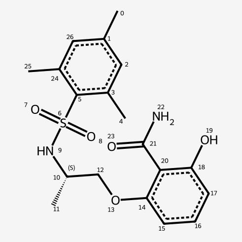 Cc1cc(C)c(S(=O)(=O)N[C@@H](C)COc2cccc(O)c2C(N)=O)c(C)c1